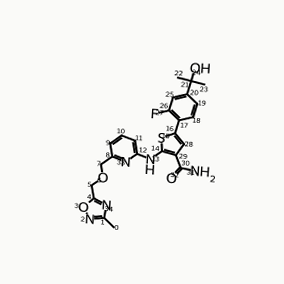 Cc1noc(COCc2cccc(Nc3sc(-c4ccc(C(C)(C)O)cc4F)cc3C(N)=O)n2)n1